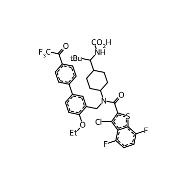 CCOc1ccc(-c2ccc(C(=O)C(F)(F)F)cc2)cc1CN(C(=O)c1sc2c(F)ccc(F)c2c1Cl)C1CCC(C(NC(=O)O)C(C)(C)C)CC1